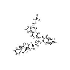 Cc1cc(C[C@@H](OC(=O)N2CCC(N3CCc4ccccc4NC3=O)CC2)C(=O)N2CCC(N3CCC[C@@H]3C(=O)OCCN(C)C)CC2)cc2oc(=O)[nH]c12